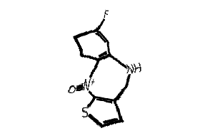 O=[N+]1C2=C(C=C(F)CC2)NCc2ccsc21